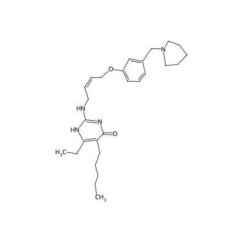 CCCCCc1c(CC)[nH]c(NC/C=C\COc2cccc(CN3CCCCC3)c2)nc1=O